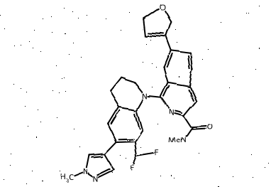 CNC(=O)c1cc2ccc(C3=CCOC3)cc2c(N2CCCc3cc(-c4cnn(C)c4)c(C(F)F)cc32)n1